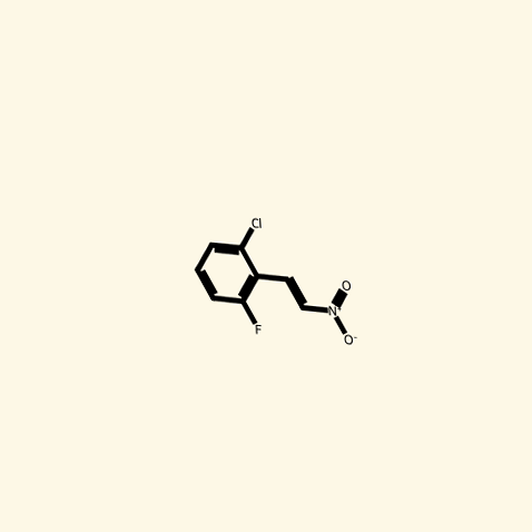 O=[N+]([O-])C=Cc1c(F)cccc1Cl